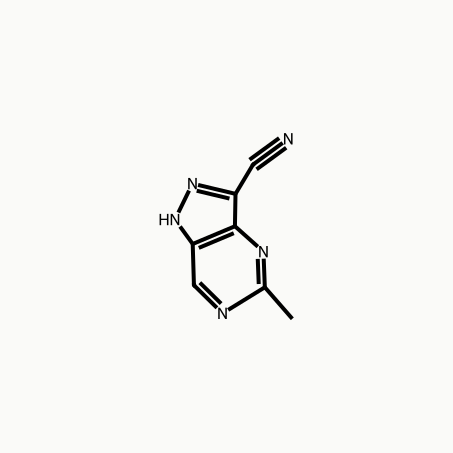 Cc1ncc2[nH]nc(C#N)c2n1